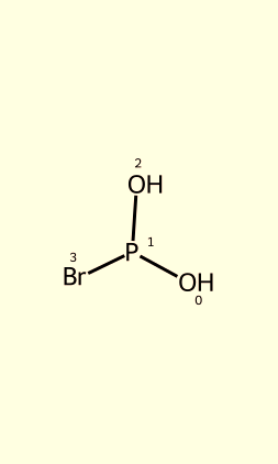 OP(O)Br